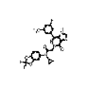 O=C(Cn1nc(-c2cc(F)cc(C(F)(F)F)c2)c2[nH]cnc2c1=O)N(c1ccc2c(c1)OC(F)(F)O2)C1CC1